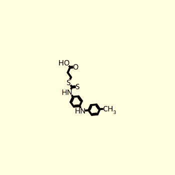 Cc1ccc(Nc2ccc(NC(=S)SCCC(=O)O)cc2)cc1